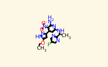 CCOc1cc(-c2cc(N[C@@H](C)c3ncc(F)cn3)nc(N)c2[N+](=O)[O-])n[nH]1